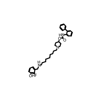 O=C(Nc1ccccc1-c1ccccc1)OC1CCN(CCCCCCCCCNCc2cccc(O)c2F)CC1